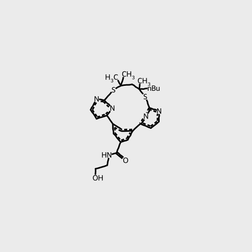 CCCCC1(C)CC(C)(C)Sc2nccc(n2)-c2cc(C(=O)NCCO)cc(c2)-c2ccnc(n2)S1